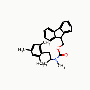 Cc1cc(C)c(CC(C(=O)O)N(C)C(=O)OCC2c3ccccc3-c3ccccc32)c(C)c1